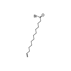 C=CCCCCCCCCCCCC(=O)Br